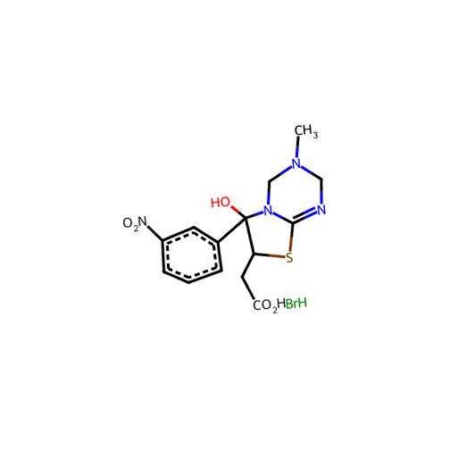 Br.CN1CN=C2SC(CC(=O)O)C(O)(c3cccc([N+](=O)[O-])c3)N2C1